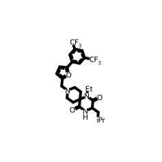 CCN1C(=O)C(CC(C)C)NC(=O)C12CCN(Cc1ccc(-c3cc(C(F)(F)F)cc(C(F)(F)F)c3)o1)CC2